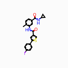 Cc1ccc(C(=O)NC2CC2)cc1NC(=O)c1csc(-c2ccc(I)cc2)c1